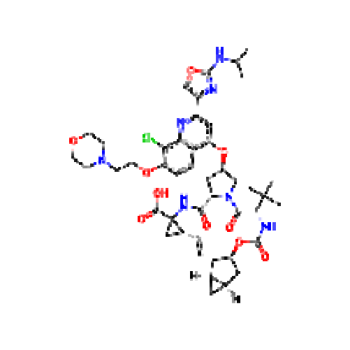 C=C[C@@H]1CC1(NC(=O)[C@@H]1C[C@@H](Oc2cc(-c3coc(NC(C)C)n3)nc3c(Cl)c(OCCN4CCOCC4)ccc23)CN1C(=O)[C@@H](NC(=O)O[C@@H]1C[C@@H]2C[C@@H]2C1)C(C)(C)C)C(=O)O